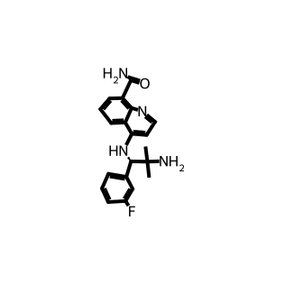 CC(C)(N)[C@@H](Nc1ccnc2c(C(N)=O)cccc12)c1cccc(F)c1